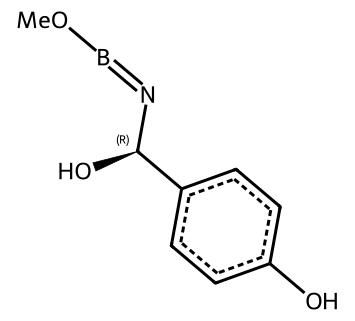 COB=N[C@H](O)c1ccc(O)cc1